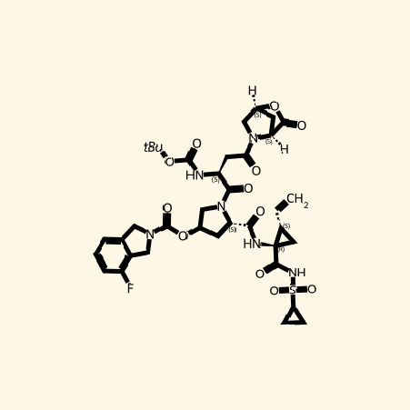 C=C[C@@H]1C[C@]1(NC(=O)[C@@H]1CC(OC(=O)N2Cc3cccc(F)c3C2)CN1C(=O)[C@H](CC(=O)N1C[C@@H]2C[C@H]1C(=O)O2)NC(=O)OC(C)(C)C)C(=O)NS(=O)(=O)C1CC1